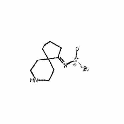 CC(C)(C)[S@@+]([O-])N=C1CCCC12CCNCC2